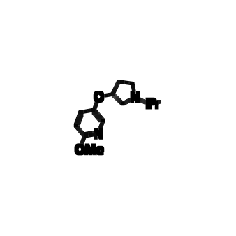 COc1ccc(OC2CCN(C(C)C)C2)cn1